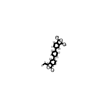 CC=C1OC(=O)c2ccc(-c3ccc(-c4ccc5c(c4)C(=O)OC5=O)cc3)cc21